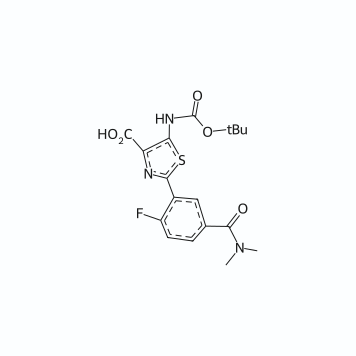 CN(C)C(=O)c1ccc(F)c(-c2nc(C(=O)O)c(NC(=O)OC(C)(C)C)s2)c1